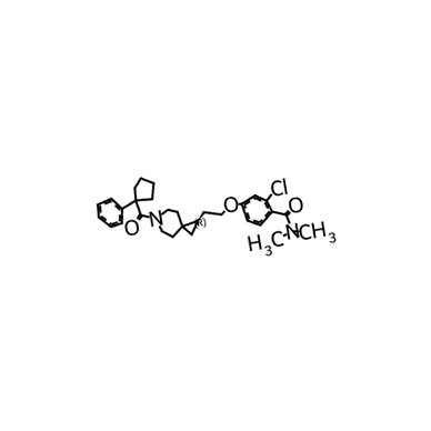 CN(C)C(=O)c1ccc(OCC[C@H]2CC23CCN(C(=O)C2(c4ccccc4)CCCC2)CC3)cc1Cl